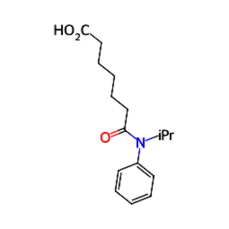 CC(C)N(C(=O)CCCCCC(=O)O)c1ccccc1